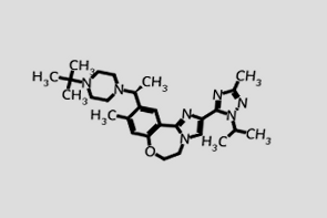 Cc1nc(-c2cn3c(n2)-c2cc([C@H](C)N4CCN(C(C)(C)C)CC4)c(C)cc2OCC3)n(C(C)C)n1